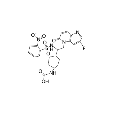 O=C(O)NC1CCC(C(Cn2c(=O)ccc3ncc(F)cc32)NS(=O)(=O)c2ccccc2[N+](=O)[O-])CC1